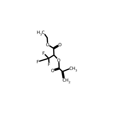 C=C(C)C(=O)OC(C(=O)OCC)C(F)(F)F